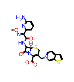 CON=C(C(=O)NC1C(=O)N2C(C(=O)[O-])=C(C[n+]3ccc4ccsc4c3)CS[C@@H]12)c1cccc(N)n1